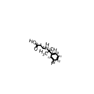 CC(C)(NCCC(=O)O)c1cc[c]c(F)c1